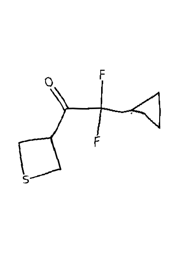 O=C(C1CSC1)C(F)(F)[C]1CC1